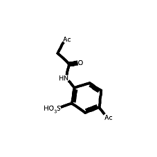 CC(=O)CC(=O)Nc1ccc(C(C)=O)cc1S(=O)(=O)O